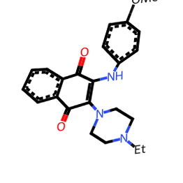 CCN1CCN(C2=C(Nc3ccc(OC)cc3)C(=O)c3ccccc3C2=O)CC1